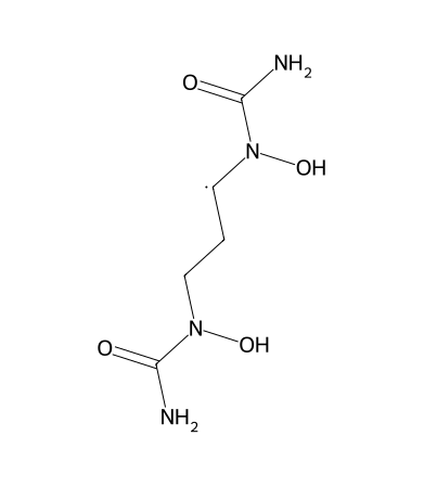 NC(=O)N(O)[CH]CCN(O)C(N)=O